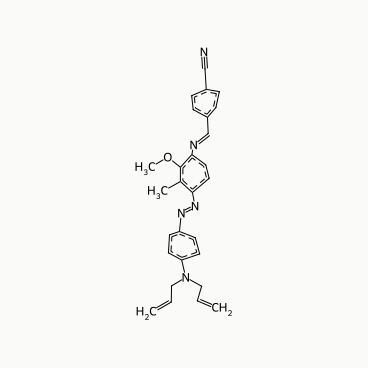 C=CCN(CC=C)c1ccc(N=Nc2ccc(N=Cc3ccc(C#N)cc3)c(OC)c2C)cc1